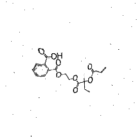 CCC(=O)OC(C)(CC)C(=O)OCCOC(=O)c1ccccc1C(=O)O